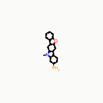 Cn1c2cc(P)ccc2c2cc3oc4ccccc4c3cc21